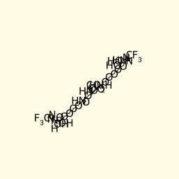 O=C(O)CC(=O)NC(COCCC(=O)NCCOCCOCCOCCOCC1OC[C@H](Nc2cncc(C(F)(F)F)n2)[C@@H](O)[C@H]1O)COCCC(=O)NCCOCCOCCOCCOC[C@H]1OC[C@H](Nc2cncc(C(F)(F)F)n2)[C@@H](O)[C@H]1O